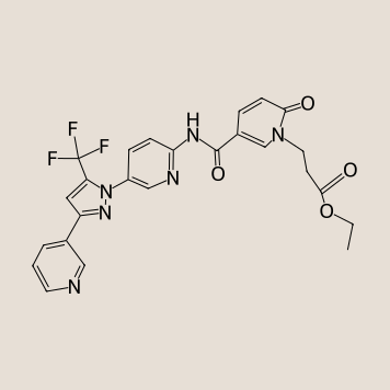 CCOC(=O)CCn1cc(C(=O)Nc2ccc(-n3nc(-c4cccnc4)cc3C(F)(F)F)cn2)ccc1=O